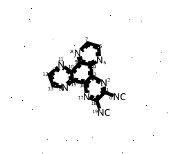 [C-]#[N+]c1nc2c3nccnc3c3nccnc3c2nc1[N+]#[C-]